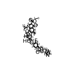 CCOC(=O)c1cn(C2CC2)c2c3c(c(F)cc2c1=O)N1C[C@](O)(COc2ccc(N4C[C@H](Cn5ccnn5)OC4=O)cc2F)C[C@H]1CO3